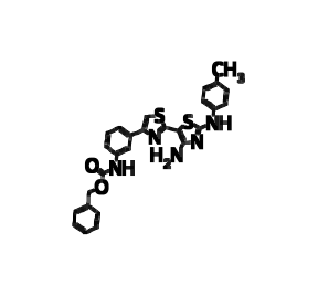 Cc1ccc(Nc2nc(N)c(-c3nc(-c4cccc(NC(=O)OCc5ccccc5)c4)cs3)s2)cc1